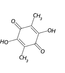 CC1=C(O)C(=O)C(C)=C(O)C1=O